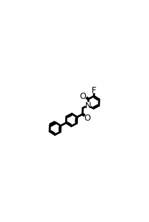 O=C(Cn1cccc(F)c1=O)c1ccc(-c2c#cccc2)cc1